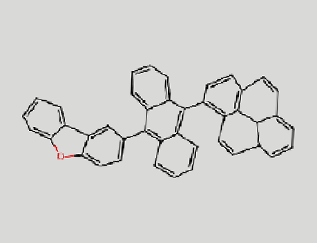 C1=CC2C=Cc3c(-c4c5ccccc5c(-c5ccc6oc7ccccc7c6c5)c5ccccc45)ccc4c3C2C(=C1)C=C4